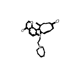 C=C1CCC(=O)C/C=C\c2c1c1c3occc(=O)c3ccc1n2CCN1CCCCCC1